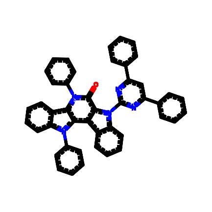 O=c1c2c(c3ccccc3n2-c2nc(-c3ccccc3)cc(-c3ccccc3)n2)c2c(c3ccccc3n2-c2ccccc2)n1-c1ccccc1